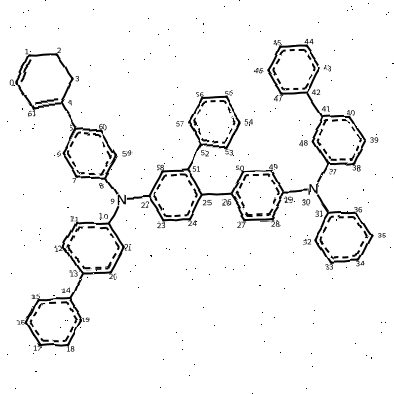 C1=CCCC(c2ccc(N(c3ccc(-c4ccccc4)cc3)c3ccc(-c4ccc(N(c5ccccc5)c5cccc(-c6ccccc6)c5)cc4)c(-c4ccccc4)c3)cc2)=C1